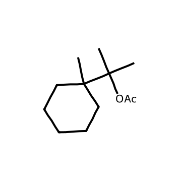 CC(=O)OC(C)(C)C1(C)CCCCC1